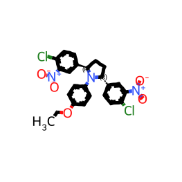 CCOc1ccc(N2[C@@H](c3ccc(Cl)c([N+](=O)[O-])c3)CC[C@@H]2c2ccc(Cl)c([N+](=O)[O-])c2)cc1